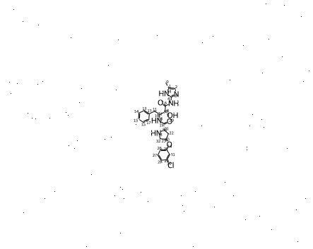 Cc1cnc(NC(=O)[C@H](O)[C@H](Cc2ccccc2)NC(=O)[C@@H]2C[C@@H](Oc3cccc(Cl)c3)CN2)[nH]1